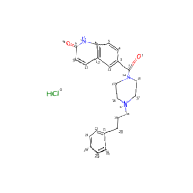 Cl.O=C(c1ccc2[nH]c(=O)ccc2c1)N1CCN(CCCc2ccccc2)CC1